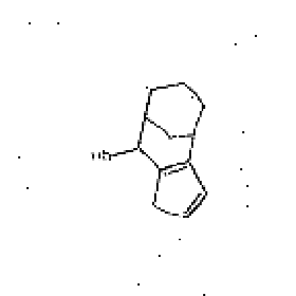 OC1C2=C(C=CC2)C2CCCC1C2